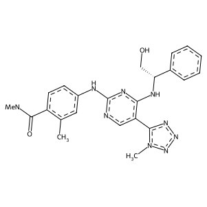 CNC(=O)c1ccc(Nc2ncc(-c3nnnn3C)c(N[C@H](CO)c3ccccc3)n2)cc1C